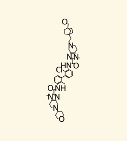 Cc1c(NC(=O)c2nc3c(n2C)CCN(C2CCOCC2)C3)cccc1-c1cccc(NC(=O)c2nc3c(n2C)CCN(CCC24CCC(C=O)(CC2)C4)C3)c1Cl